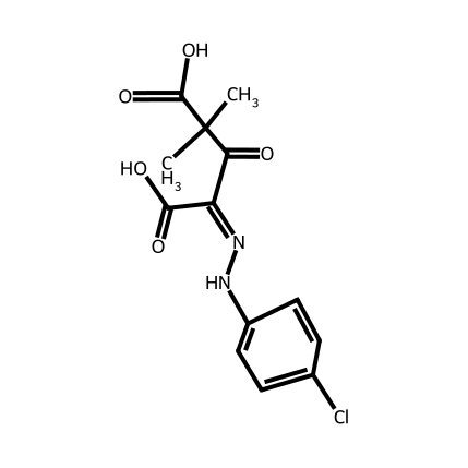 CC(C)(C(=O)O)C(=O)C(=NNc1ccc(Cl)cc1)C(=O)O